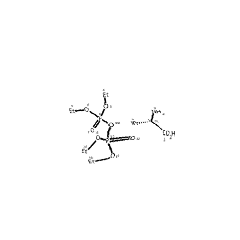 CC(C)[C@H](N)C(=O)O.CCOP(=O)(OCC)OP(=O)(OCC)OCC